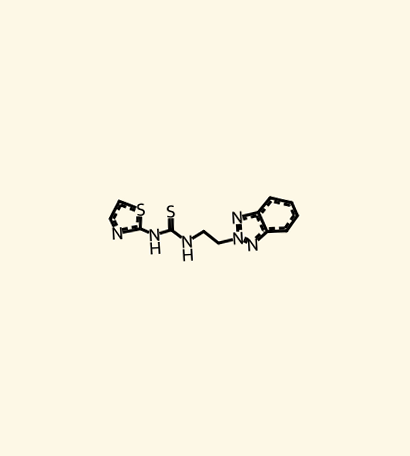 S=C(NCCn1nc2ccccc2n1)Nc1nccs1